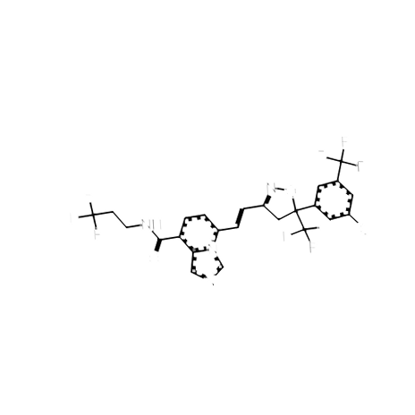 O=C(NCCC(F)(F)F)c1ccc(C=CC2=NOC(c3cc(Cl)cc(C(F)(F)F)c3)(C(F)(F)F)C2)n2cncc12